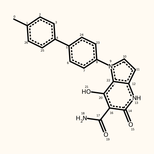 Cc1ccc(-c2ccc(-n3ccc4[nH]c(=O)c(C(N)=O)c(O)c43)cc2)cc1